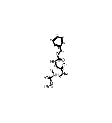 CN(C)C(=O)[C@H](CNC(=O)OC(C)(C)C)NC(=O)OCc1ccccc1